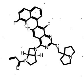 C=CC(=O)N1CC[C@H]2[C@H]1CN2c1nc(OCC23CCCN2CCC3)nc2c(F)c(-c3cccc4ccc(F)c(Cl)c34)c(F)cc12